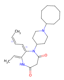 CC=C1NC(=O)CC(=O)N(C2CCN(C3CCCCCCC3)CC2)/C1=C/C=C\C